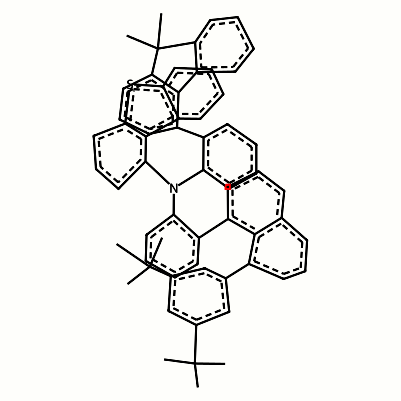 CC(C)(C)c1cc(-c2cccc3cccc(-c4ccccc4N(c4ccccc4-c4cccc5c4-c4ccccc4C5(C)C)c4cccc5sc6ccccc6c45)c23)cc(C(C)(C)C)c1